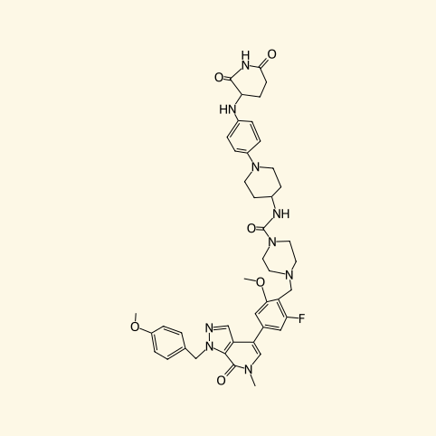 COc1ccc(Cn2ncc3c(-c4cc(F)c(CN5CCN(C(=O)NC6CCN(c7ccc(NC8CCC(=O)NC8=O)cc7)CC6)CC5)c(OC)c4)cn(C)c(=O)c32)cc1